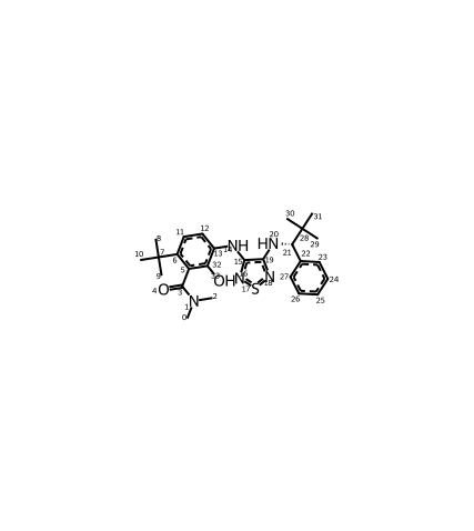 CN(C)C(=O)c1c(C(C)(C)C)ccc(Nc2nsnc2N[C@@H](c2ccccc2)C(C)(C)C)c1O